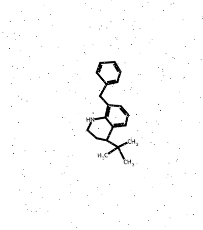 CC(C)(C)C1CCNc2c(Cc3ccccc3)cccc21